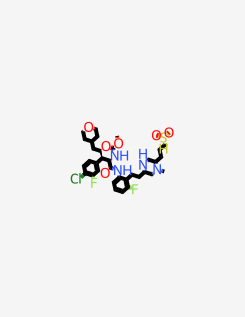 COC(=O)N[C@H](C(=O)Nc1cccc(F)c1CCC1CN(C)C(CCC[SH](=O)=O)CN1)[C@H](CCC1CCOCC1)c1ccc(Cl)c(F)c1